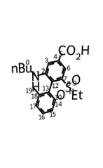 CCCCNc1cc(C(=O)O)cc(S(=O)(=O)CC)c1-c1ccccc1C